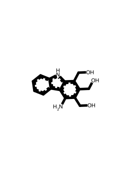 Nc1c(CO)c(CO)c(CO)c2[nH]c3ccccc3c12